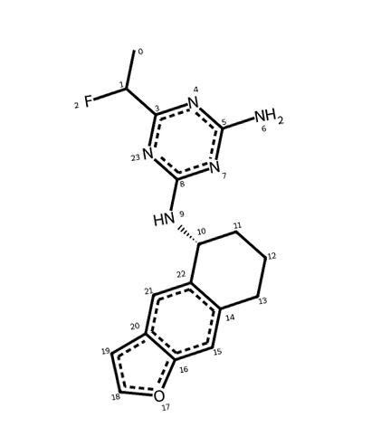 CC(F)c1nc(N)nc(N[C@@H]2CCCc3cc4occc4cc32)n1